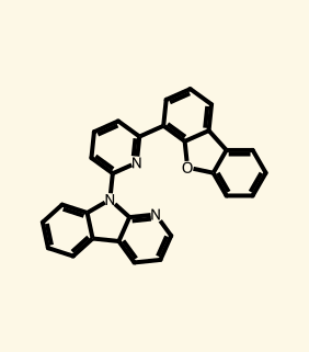 c1cc(-c2cccc3c2oc2ccccc23)nc(-n2c3ccccc3c3cccnc32)c1